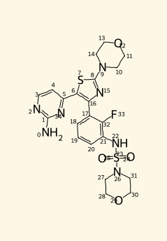 Nc1nccc(-c2sc(N3CCOCC3)nc2-c2cccc(NS(=O)(=O)N3CCOCC3)c2F)n1